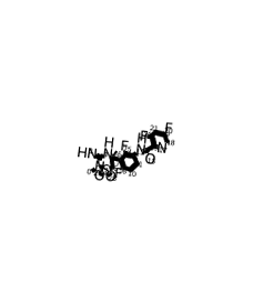 CN1C(=N)N[C@](C)(c2c(F)ccc(NC(=O)c3ncc(F)cc3F)c2F)CS1(=O)=O